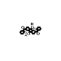 O=c1c2ccccc2[nH]c2c1ccc1c(O)c3c(ccc4c(=O)c5ccccc5[nH]c43)c(O)c12